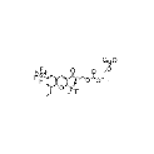 CCc1cc(S(F)(F)(F)(F)F)cc2c1O[C@H](C(F)(F)F)C(C(=O)OCOC(=O)O[C@@H](C)CO[N+](=O)[O-])=C2